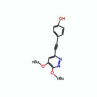 CCCCOc1cc(C#Cc2ccc(O)cc2)nnc1OCCCC